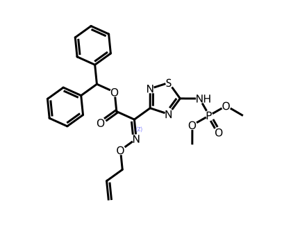 C=CCO/N=C(\C(=O)OC(c1ccccc1)c1ccccc1)c1nsc(NP(=O)(OC)OC)n1